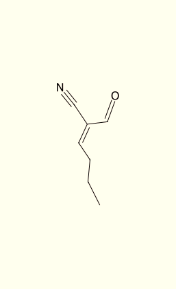 CCCC=C(C#N)C=O